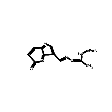 CCCCCNC(N)=NN=CC1=CN=C2C=CC(=O)N=C12